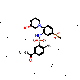 CCc1ccc(C(=O)OC)cc1S(=O)(=O)Nc1cc(S(C)(=O)=O)ccc1N1CCCC(O)C1